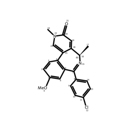 COc1ccc2c(c1)C(c1ccc(Cl)cc1)=N[C@H](C)c1cc(=O)n(C)cc1-2